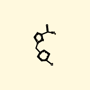 NC(=O)c1[c]cn(Cc2ccc(Cl)cc2)n1